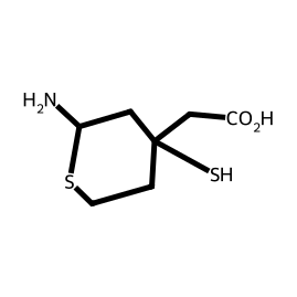 NC1CC(S)(CC(=O)O)CCS1